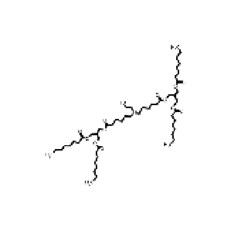 CCCCCCCC(=O)OCC(COC(=O)CCCCCCC)COC(=O)CCCCCN(CCO)CCCCCC(=O)OCC(COC(=O)CCCCCCC)COC(=O)CCCCCCC